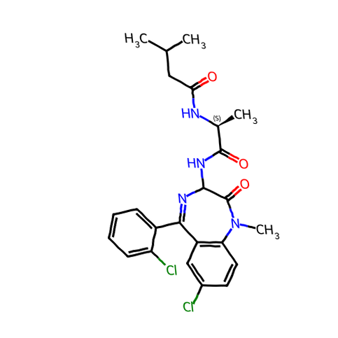 CC(C)CC(=O)N[C@@H](C)C(=O)NC1N=C(c2ccccc2Cl)c2cc(Cl)ccc2N(C)C1=O